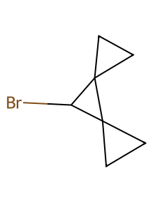 BrC1C2(CC2)C12CC2